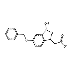 O=[N+]([O-])CC1OB(O)c2cc(OCc3ccccc3)ccc21